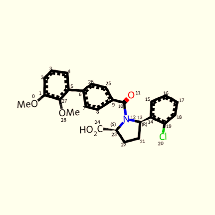 COc1cccc(-c2ccc(C(=O)N3[C@@H](c4ccccc4Cl)CC[C@H]3C(=O)O)cc2)c1OC